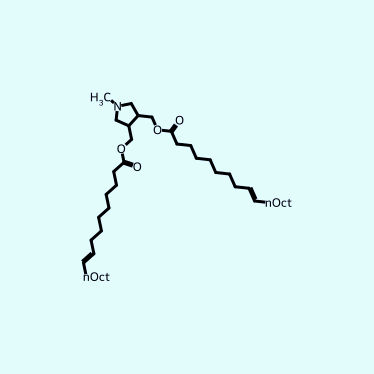 CCCCCCCCC=CCCCCCCCC(=O)OCC1CN(C)CC1COC(=O)CCCCCCCC=CCCCCCCCC